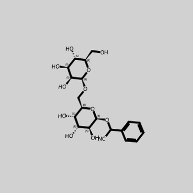 N#CC(O[C@@H]1O[C@H](CO[C@@H]2O[C@H](CO)[C@@H](O)[C@H](O)[C@@H]2O)[C@@H](O)[C@@H](O)[C@@H]1O)c1ccccc1